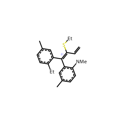 C=C/C(SCC)=C(/c1cc(C)ccc1CC)c1cc(C)ccc1NC